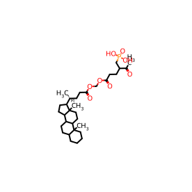 CC(=O)C(CCC(=O)OCOC(=O)CC[C@@H](C)C1CCC2C3CCC4CCCCC4(C)C3CCC21C)CP(=O)(O)O